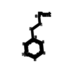 CCCC(C)CCc1cccnc1